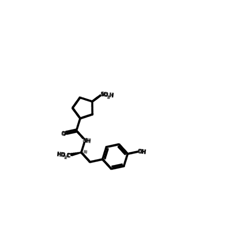 O=C(N[C@@H](Cc1ccc(O)cc1)C(=O)O)C1CCC(S(=O)(=O)O)C1